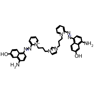 Nc1ccc(/N=N/c2cccc[n+]2CCCn2cc[n+](CCC[n+]3ccccc3/N=N/c3ccc(N)c4cc(O)ccc34)c2)c2ccc(O)cc12